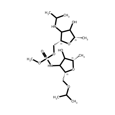 COP(=O)(NC1C(O)[C@H](C)O[C@@H]1COC(C)C)OC[C@H]1O[C@@H](C)C(O)C1NC(C)C